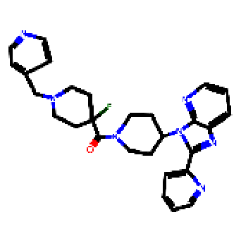 O=C(N1CCC(n2c(-c3ccccn3)nc3cccnc32)CC1)C1(F)CCN(Cc2ccncc2)CC1